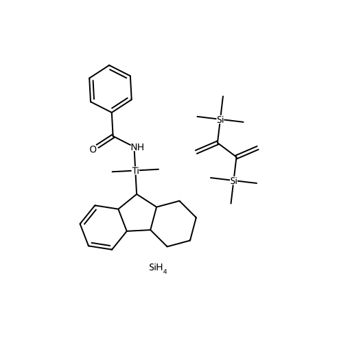 C=C(C(=C)[Si](C)(C)C)[Si](C)(C)C.[CH3][Ti]([CH3])([NH]C(=O)c1ccccc1)[CH]1C2C=CC=CC2C2CCCCC21.[SiH4]